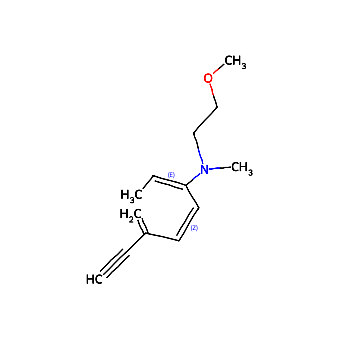 C#CC(=C)/C=C\C(=C/C)N(C)CCOC